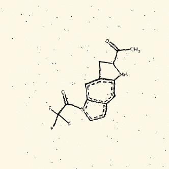 CC(=O)C1Cc2cc3c(ccn3C(=O)C(F)(F)F)cc2N1